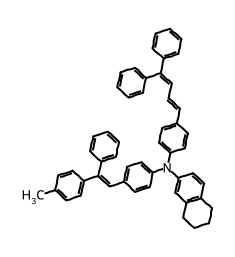 Cc1ccc(/C(=C/c2ccc(N(c3ccc(/C=C/C=C(c4ccccc4)c4ccccc4)cc3)c3ccc4c(c3)CCCC4)cc2)c2ccccc2)cc1